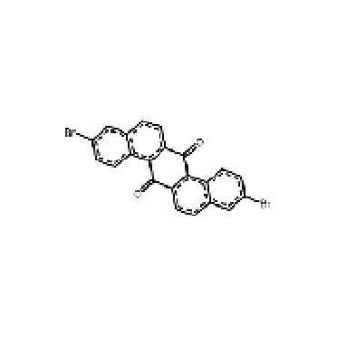 O=C1c2ccc3cc(Br)ccc3c2C(=O)c2ccc3cc(Br)ccc3c21